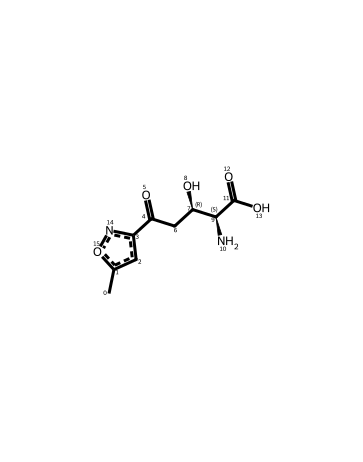 Cc1cc(C(=O)C[C@@H](O)[C@H](N)C(=O)O)no1